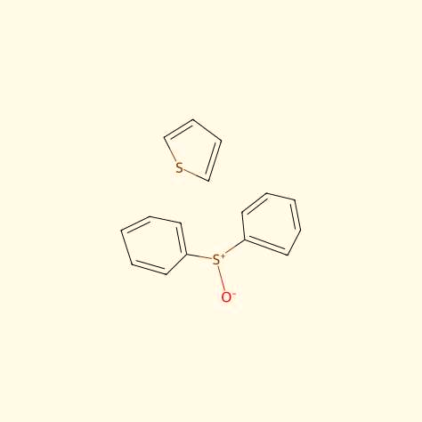 [O-][S+](c1ccccc1)c1ccccc1.c1ccsc1